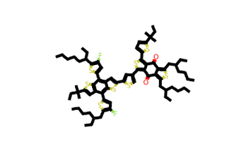 CCCCCC(CC)c1sc(-c2c3cc(-c4cc(-c5sc(-c6ccc(C(C)(C)CC)s6)c6c5C(=O)c5c(CC(CC)CCCC)sc(CC(CC)CCCC)c5C6=O)cs4)sc3c(-c3cc(F)c(CC(CC)CCCC)s3)c3cc(C(C)(C)CC)sc23)cc1F